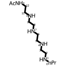 CCCNCCNCCNCCNCCNC(C)=O